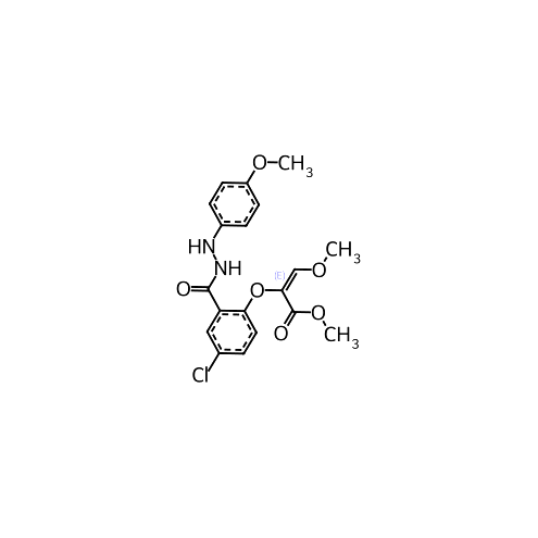 CO/C=C(/Oc1ccc(Cl)cc1C(=O)NNc1ccc(OC)cc1)C(=O)OC